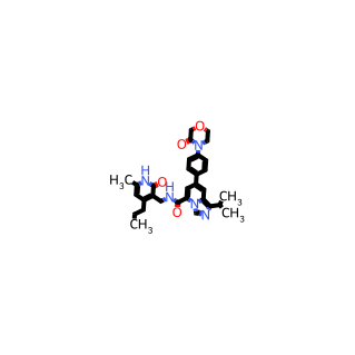 CCCc1cc(C)[nH]c(=O)c1CNC(=O)c1cc(-c2ccc(N3CCOCC3=O)cc2)cc2c(C(C)C)ncn12